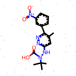 Cc1cc(NN(C(=O)O)C(C)(C)C)nnc1-c1cccc([N+](=O)[O-])c1